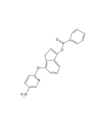 Nc1ccc(Oc2cccc3c2CC=C3OC(=O)c2ccccc2)nc1